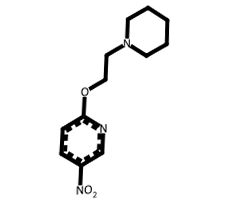 O=[N+]([O-])c1ccc(OCCN2CCCCC2)nc1